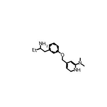 CCC(N)Cc1cccc(OCC2=CCNC(N(C)C)=C2)c1